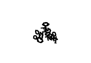 COc1cccc2c1C(=O)N(C[C@H]1c3sc(N)c(C(=O)OC(C)(C)C)c3CCN1[C@@H](C)c1ccccc1)C2